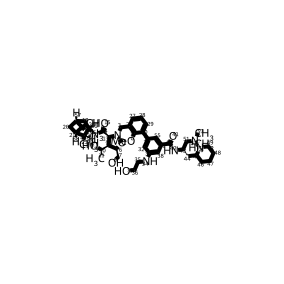 COc1c(CN2O[C@@H](CO)[C@@H]([C@H](C)O)[C@H]2C(=O)N[C@H]2C[C@H]3C[C@@H]([C@@H]2C)C3(C)C)cccc1-c1cc(NCCO)cc(C(=O)N[C@@H](CC2CCCCN2)CN(C)C)c1